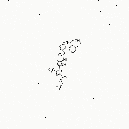 CC=C(Nc1cccc(CC(=O)NC2NC(c3sc(C(=O)OCC)nc3C)=CS2)c1)c1ccccc1